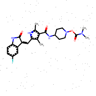 Cc1[nH]c(/C=C2\C(=O)Nc3ccc(F)cc32)c(C)c1C(=O)NC1CCN(OC(=O)N(C)C)CC1